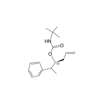 C=CC[C@H](OC(=O)NC(C)(C)C)C(C)c1ccccc1